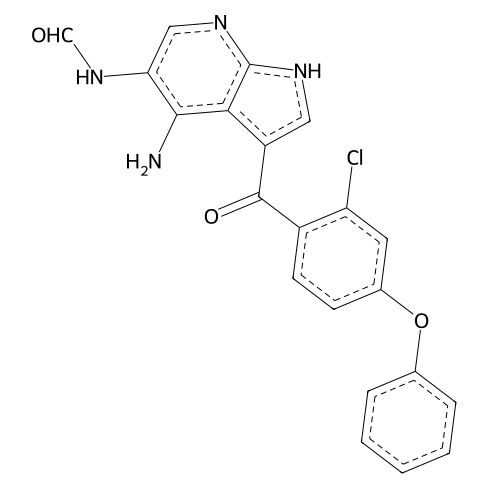 Nc1c(NC=O)cnc2[nH]cc(C(=O)c3ccc(Oc4ccccc4)cc3Cl)c12